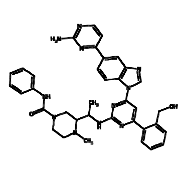 CC(Nc1nc(-c2ccccc2CO)cc(-n2cnc3cc(-c4ccnc(N)n4)ccc32)n1)C1CN(C(=O)Nc2ccccc2)CCN1C